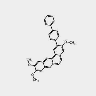 COc1cc2cc3c4cc(-c5ccc(-c6ccccc6)cc5)c(OC)cc4cc[n+]3cc2cc1OC